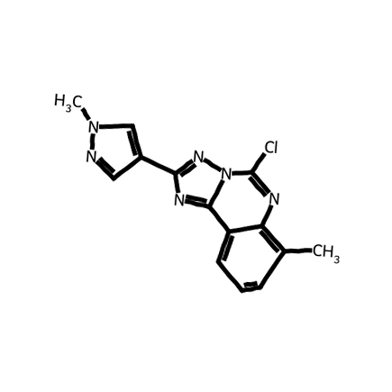 Cc1cccc2c1nc(Cl)n1nc(-c3cnn(C)c3)nc21